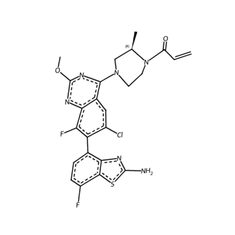 C=CC(=O)N1CCN(c2nc(OC)nc3c(F)c(-c4ccc(F)c5sc(N)nc45)c(Cl)cc23)C[C@H]1C